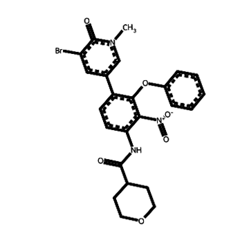 Cn1cc(-c2ccc(NC(=O)C3CCOCC3)c([N+](=O)[O-])c2Oc2ccccc2)cc(Br)c1=O